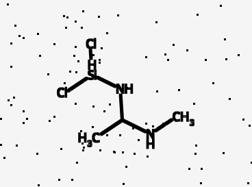 CNC(C)N[SiH](Cl)Cl